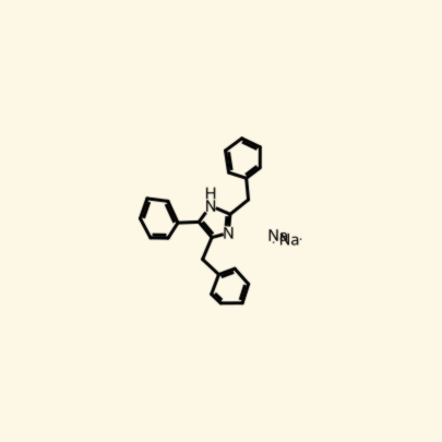 [Na].[Na].c1ccc(Cc2nc(Cc3ccccc3)c(-c3ccccc3)[nH]2)cc1